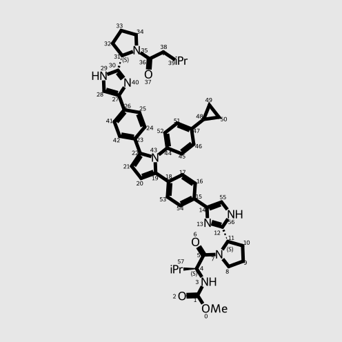 COC(=O)N[C@H](C(=O)N1CCC[C@H]1c1nc(-c2ccc(-c3ccc(-c4ccc(-c5c[nH]c([C@@H]6CCCN6C(=O)[CH]C(C)C)n5)cc4)n3-c3ccc(C4CC4)cc3)cc2)c[nH]1)C(C)C